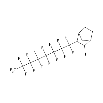 FC(F)(F)C(F)(F)C(F)(F)C(F)(F)C(F)(F)C(F)(F)C(F)(F)C(F)(F)C1C2CCC(C2)C1I